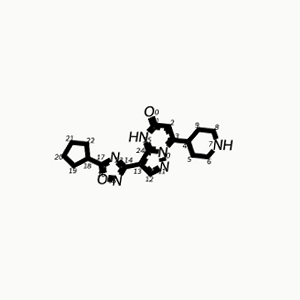 O=c1cc(C2CCNCC2)n2ncc(-c3noc(C4CCCC4)n3)c2[nH]1